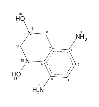 Nc1ccc(N)c2c1CN(O)CN2O